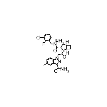 Cc1ccc2c(c1)c(C(N)=O)nn2CC(=O)N1[C@@H]2CC[C@@H]2C[C@H]1C(=O)N(N)Cc1cccc(Cl)c1F